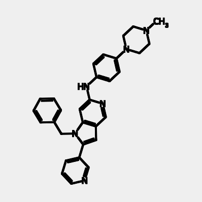 CN1CCN(c2ccc(Nc3cc4c(cn3)cc(-c3cccnc3)n4Cc3ccccc3)cc2)CC1